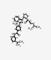 CC(C)c1ccnc(NC(=O)c2ccc(C3=NC(C4CCCN4C(=O)/C=C/CN(C)C)=C4C=NC=C[N+]34N)cc2)c1